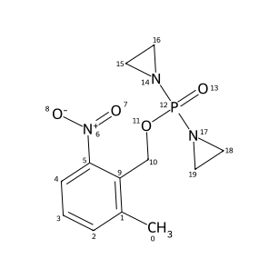 Cc1cccc([N+](=O)[O-])c1COP(=O)(N1CC1)N1CC1